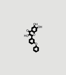 O=c1c(O)c(-c2cccc(Oc3ccccc3)c2)oc2cc(O)c(O)cc12